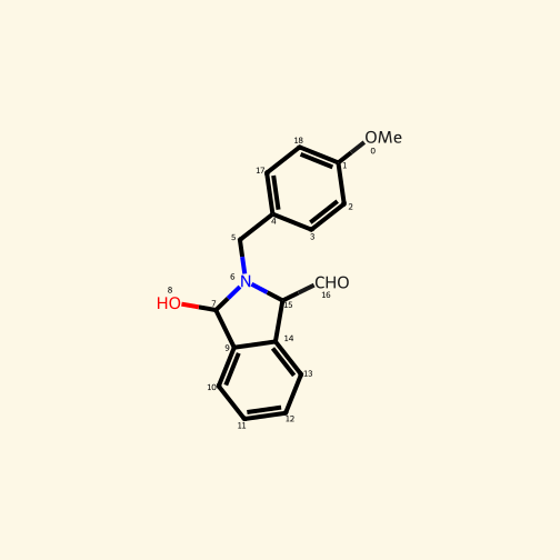 COc1ccc(CN2C(O)c3ccccc3C2C=O)cc1